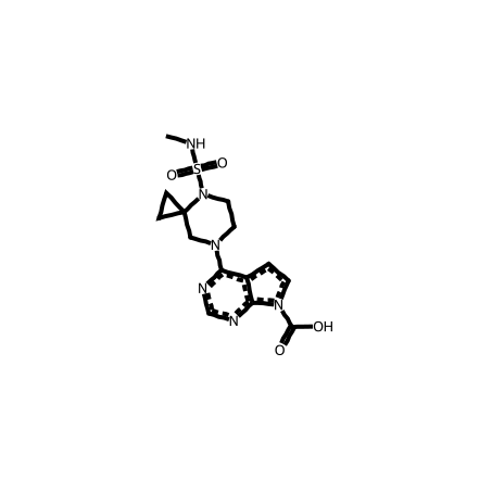 CNS(=O)(=O)N1CCN(c2ncnc3c2ccn3C(=O)O)CC12CC2